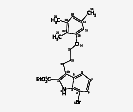 CCOC(=O)c1[nH]c2c(Br)cccc2c1CCCOc1cc(C)cc(C)c1C